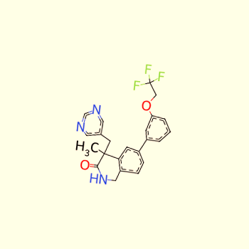 CC1(Cc2cncnc2)C(=O)NCc2ccc(-c3cccc(OCC(F)(F)F)c3)cc21